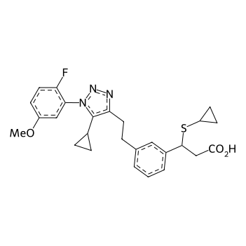 COc1ccc(F)c(-n2nnc(CCc3cccc(C(CC(=O)O)SC4CC4)c3)c2C2CC2)c1